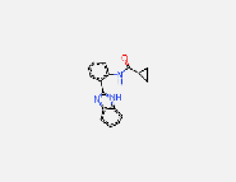 O=C(Nc1ccccc1-c1nc2ccccc2[nH]1)C1CC1